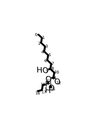 CCCCCCCCC(O)CC(=O)O[PH](=O)CCC